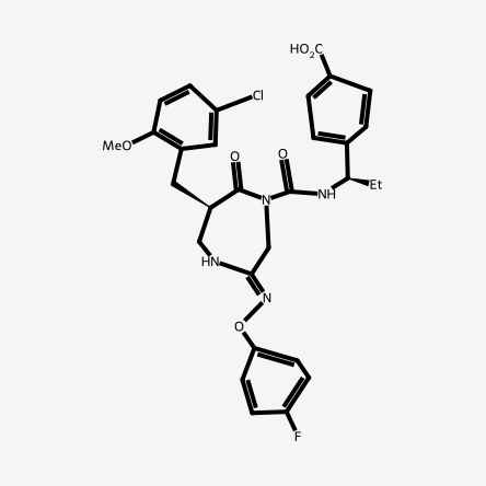 CC[C@@H](NC(=O)N1C/C(=N/Oc2ccc(F)cc2)NC[C@@H](Cc2cc(Cl)ccc2OC)C1=O)c1ccc(C(=O)O)cc1